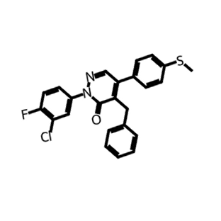 CSc1ccc(-c2cnn(-c3ccc(F)c(Cl)c3)c(=O)c2Cc2ccccc2)cc1